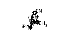 CC(C)Cn1nccc1-c1cc2nc(C(=O)NCc3ccc(C#N)cc3)cc(N3CCN(C)C[C@H]3CF)n2n1